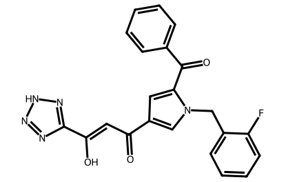 O=C(C=C(O)c1nn[nH]n1)c1cc(C(=O)c2ccccc2)n(Cc2ccccc2F)c1